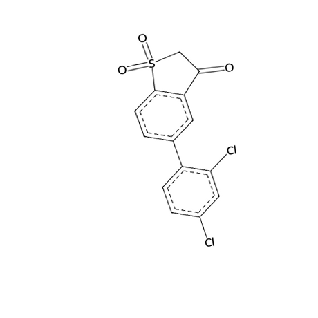 O=C1CS(=O)(=O)c2ccc(-c3ccc(Cl)cc3Cl)cc21